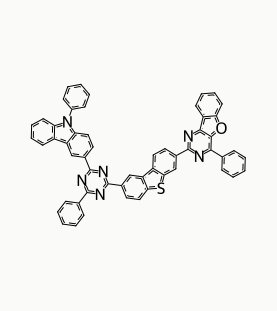 c1ccc(-c2nc(-c3ccc4sc5cc(-c6nc(-c7ccccc7)c7oc8ccccc8c7n6)ccc5c4c3)nc(-c3ccc4c(c3)c3ccccc3n4-c3ccccc3)n2)cc1